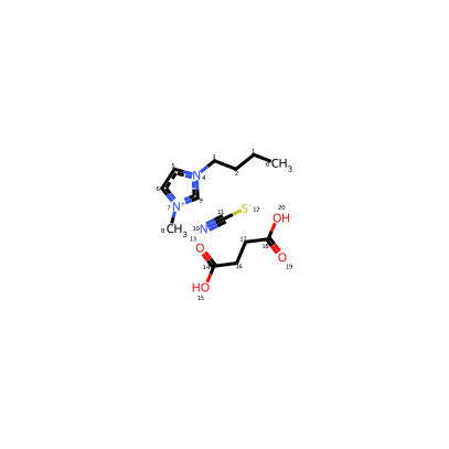 CCCCn1cc[n+](C)c1.N#C[S-].O=C(O)CCC(=O)O